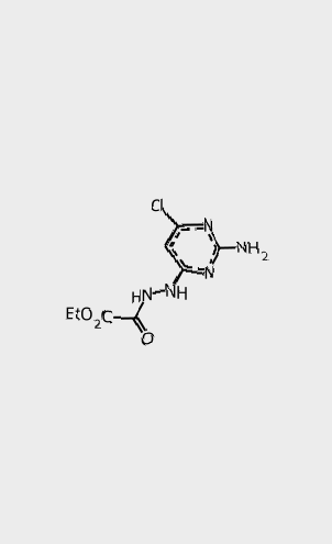 CCOC(=O)C(=O)NNc1cc(Cl)nc(N)n1